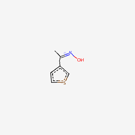 C/C(=N/O)c1ccsc1